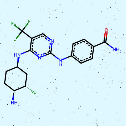 NC(=O)c1ccc(Nc2ncc(C(F)(F)F)c(N[C@@H]3CC[C@H](N)[C@@H](F)C3)n2)cc1